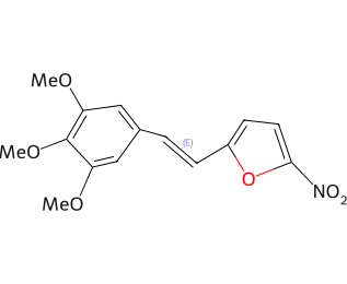 COc1cc(/C=C/c2ccc([N+](=O)[O-])o2)cc(OC)c1OC